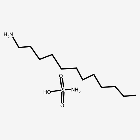 CCCCCCCCCCCCN.NS(=O)(=O)O